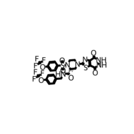 O=C(NCc1ccc(OC(F)(F)F)cc1)[C@H]1CN(c2nc3c(=O)[nH][nH]c(=O)c3s2)CCN1S(=O)(=O)c1ccc(OC(F)(F)F)cc1